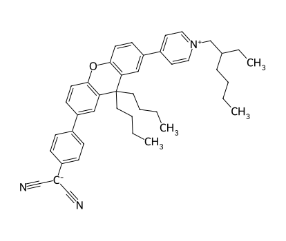 CCCCC(CC)C[n+]1ccc(-c2ccc3c(c2)C(CCCC)(CCCC)c2cc(-c4ccc([C-](C#N)C#N)cc4)ccc2O3)cc1